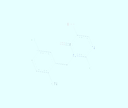 N#Cc1ccc(Cl)cc1Cn1c(Cl)ncc(O)c1=O